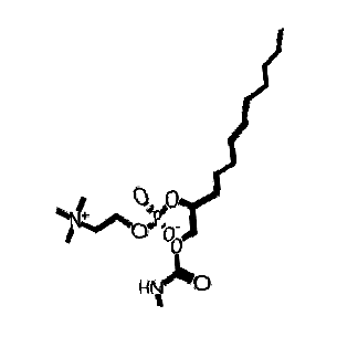 CCCCCCCCCCC(COC(=O)NC)OP(=O)([O-])OCC[N+](C)(C)C